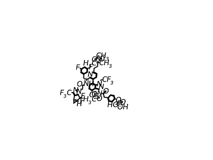 CC(C)(CCc1ccc(-c2ccc(Cl)c3c(N(C(=O)Cc4ccc(OP(=O)(O)O)cc4)S(C)(=O)=O)nn(CC(F)(F)F)c23)c([C@H](Cc2cc(F)cc(F)c2)NC(=O)Cn2nc(C(F)(F)F)c3c2C(F)(F)[C@@H]2CC32)n1)S(C)(=O)=O